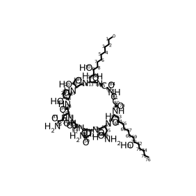 CCCCCCCCCC(O)CCC1NC(=O)C(C(C)O)NC(=O)C(C(C)O)NC(=O)C(CC(O)C(N)=O)NC(=O)C(C)NC(=O)C(CC(N)=O)NC(=O)C(CC(N)=O)NC(=O)C(CCCCCCCC(O)CCCCC)NC(=O)CCNC(=O)CNC1=O